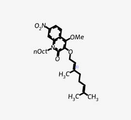 CCCCCCCCn1c(=O)c(OC/C=C(\C)CCC=C(C)C)c(OC)c2ccc([N+](=O)[O-])cc21